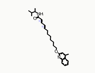 Cc1cc(OCCCCCCC/C=C/C=C/C(=O)NC(C)C(C)C)nc2ccccc12